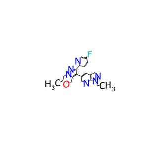 CCn1ncc2cc(-c3c(-c4ccc(F)cn4)nn4c3CO[C@@H](C)C4)cnc21